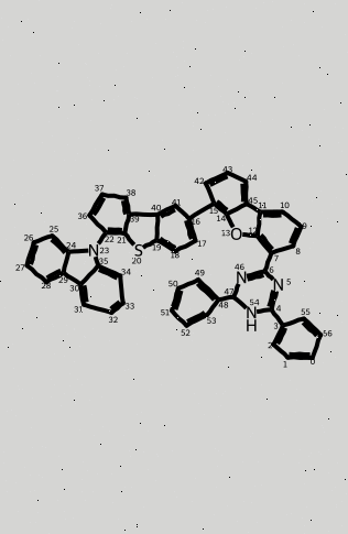 c1ccc(C2=NC(c3cccc4c3oc3c(-c5ccc6sc7c(-n8c9ccccc9c9ccccc98)cccc7c6c5)cccc34)=NC(c3ccccc3)N2)cc1